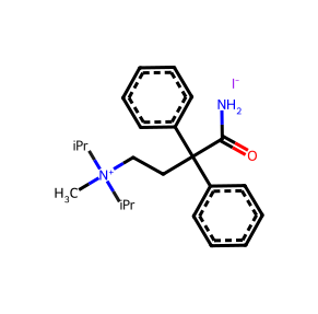 CC(C)[N+](C)(CCC(C(N)=O)(c1ccccc1)c1ccccc1)C(C)C.[I-]